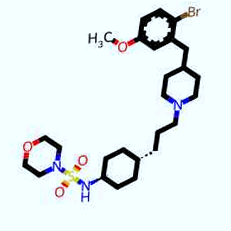 COc1ccc(Br)c(CC2CCN(CCC[C@H]3CC[C@H](NS(=O)(=O)N4CCOCC4)CC3)CC2)c1